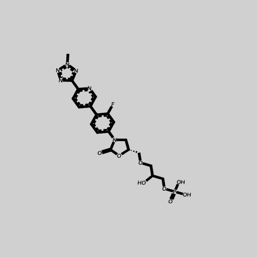 Cn1nnc(-c2ccc(-c3ccc(N4C[C@H](COCC(O)COP(=O)(O)O)OC4=O)cc3F)cn2)n1